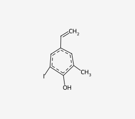 C=Cc1cc(C)c(O)c(I)c1